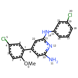 COc1ccc(Cl)cc1-c1cc(N)nc(Nc2cccc(Cl)c2)c1